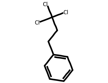 ClC(Cl)(Cl)CCc1ccccc1